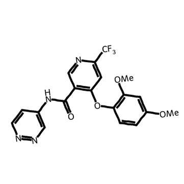 COc1ccc(Oc2cc(C(F)(F)F)ncc2C(=O)Nc2ccnnc2)c(OC)c1